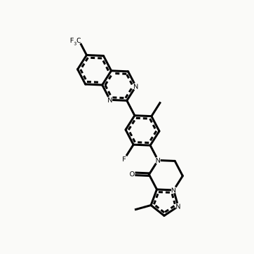 Cc1cc(N2CCn3ncc(C)c3C2=O)c(F)cc1-c1ncc2cc(C(F)(F)F)ccc2n1